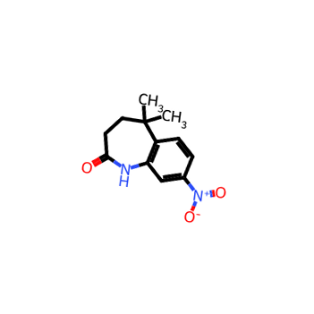 CC1(C)CCC(=O)Nc2cc([N+](=O)[O-])ccc21